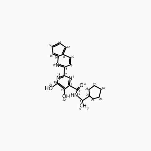 CC(NC(=O)c1nc(-c2ccc3ccccc3n2)nc(O)c1O)C1CCCCC1